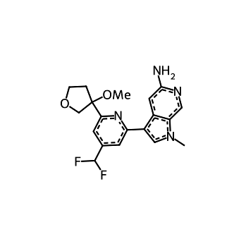 COC1(c2cc(C(F)F)cc(-c3cn(C)c4cnc(N)cc34)n2)CCOC1